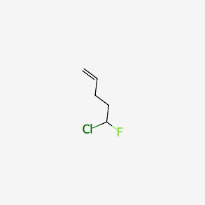 C=CCCC(F)Cl